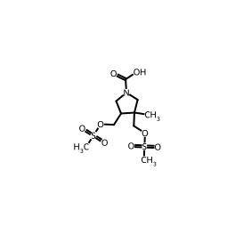 CC1(COS(C)(=O)=O)CN(C(=O)O)CC1COS(C)(=O)=O